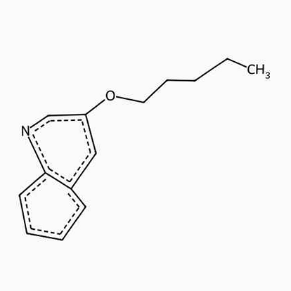 CCCCCOc1cnc2ccccc2c1